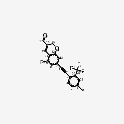 Cc1ccc(C#Cc2cc(F)c3c(c2)OCC(C=O)=C3)c(C(F)(F)F)c1